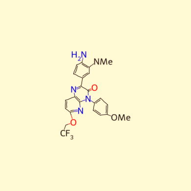 CNc1cc(-c2nc3ccc(OCC(F)(F)F)nc3n(-c3ccc(OC)cc3)c2=O)ccc1N